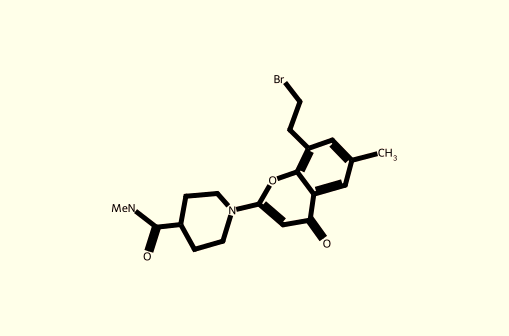 CNC(=O)C1CCN(c2cc(=O)c3cc(C)cc(CCBr)c3o2)CC1